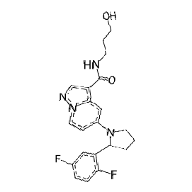 O=C(NCCCO)c1cnn2ccc(N3CCCC3c3cc(F)ccc3F)cc12